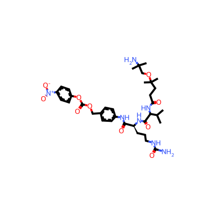 CC(C)C(NC(=O)CCC(C)(C)OCC(C)(C)N)C(=O)N[C@@H](CCCNC(N)=O)C(=O)Nc1ccc(COC(=O)Oc2ccc([N+](=O)[O-])cc2)cc1